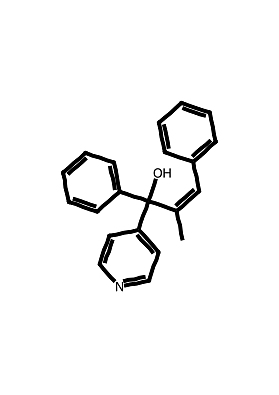 CC(=Cc1ccccc1)C(O)(c1ccccc1)c1ccncc1